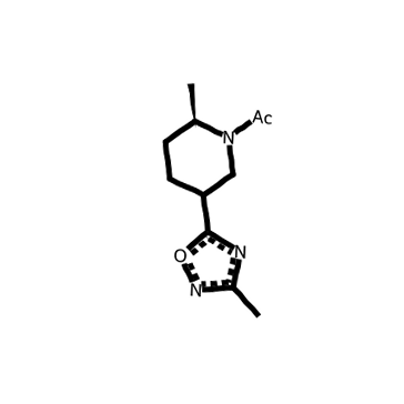 CC(=O)N1CC(c2nc(C)no2)CC[C@H]1C